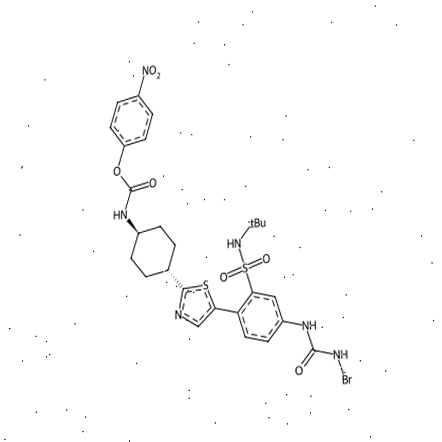 CC(C)(C)NS(=O)(=O)c1cc(NC(=O)NBr)ccc1-c1cnc([C@H]2CC[C@H](NC(=O)Oc3ccc([N+](=O)[O-])cc3)CC2)s1